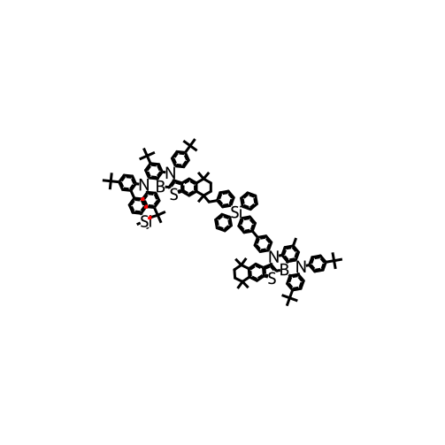 Cc1cc2c3c(c1)N(c1ccc(-c4ccc([Si](c5ccccc5)(c5ccccc5)c5cccc(CC6(C)CCC(C)(C)c7cc8c9c(sc8cc76)B6c7cc(C(C)(C)C)ccc7N(c7ccc(C(C)(C)C)cc7-c7ccc([Si](C)(C)C)cc7)c7cc(C(C)(C)C)cc(c76)N9c6ccc(C(C)(C)C)cc6)c5)cc4)cc1)c1c(sc4cc5c(cc14)C(C)(C)CCC5(C)C)B3c1cc(C(C)(C)C)ccc1N2c1ccc(C(C)(C)C)cc1